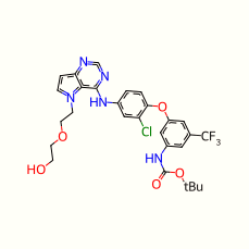 CC(C)(C)OC(=O)Nc1cc(Oc2ccc(Nc3ncnc4ccn(CCOCCO)c34)cc2Cl)cc(C(F)(F)F)c1